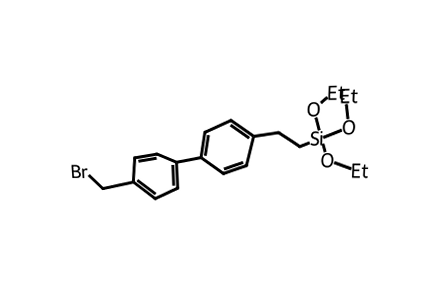 CCO[Si](CCc1ccc(-c2ccc(CBr)cc2)cc1)(OCC)OCC